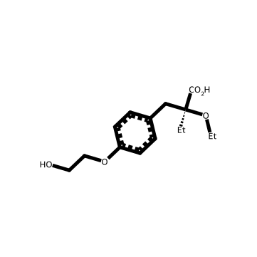 CCO[C@@](CC)(Cc1ccc(OCCO)cc1)C(=O)O